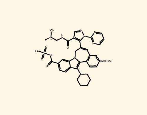 COc1ccc2c(c1)C=C(c1c(C(=O)NC[C@@H](C)O)cnn1-c1ncccn1)Cn1c-2c(C2CCCCC2)c2ccc(C(=O)NS(=O)(=O)C(C)C)cc21